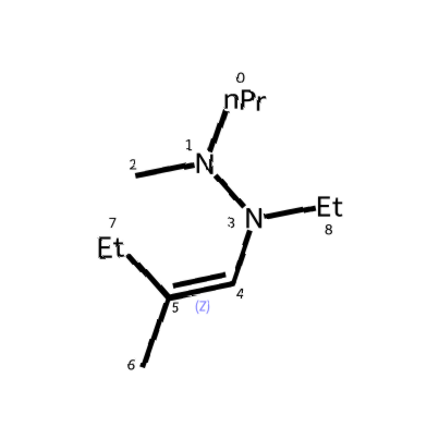 CCCN(C)N(/C=C(/C)CC)CC